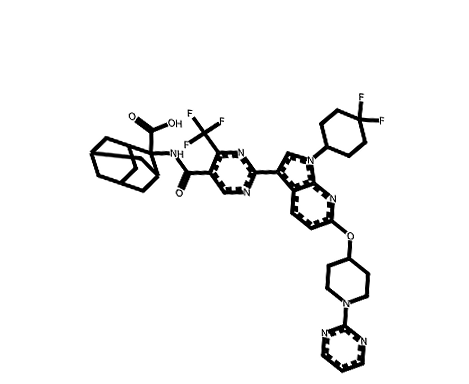 O=C(NC1(C(=O)O)C2CC3CC(C2)CC1C3)c1cnc(-c2cn(C3CCC(F)(F)CC3)c3nc(OC4CCN(c5ncccn5)CC4)ccc23)nc1C(F)(F)F